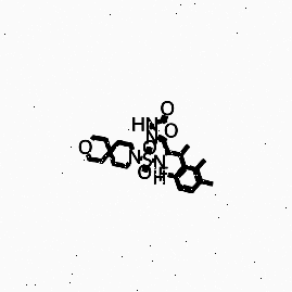 Cc1ccc(F)c(C(C)[C@H](NS(=O)(=O)N2CCC3(CCOCC3)CC2)c2n[nH]c(=O)o2)c1C